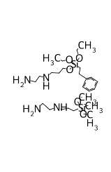 CCO[Si](CCc1ccccc1)(OCC)OCCCNCCN.CO[Si](C)(CCCNCCN)OC